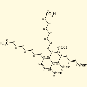 CCCCCC=CCC1C(CCCCCCCC)C(CCCCCCCC(=O)O)C2C(CCCCCCCC(=O)O)C=CC(CCCCCC)C2C1CCCCCC